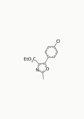 CCOC(=O)c1nc(C)oc1-c1ccc(Cl)cc1